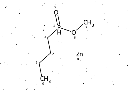 CCCC[PH](=O)OC.[Zn]